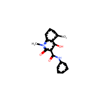 Cn1c(=O)c(C(=O)Nc2ccccc2)c(O)c2c([N+](=O)[O-])cccc21